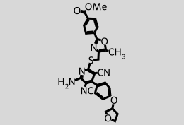 [C-]#[N+]c1c(N)nc(SCc2nc(-c3ccc(C(=O)OC)cc3)oc2C)c(C#N)c1-c1ccc(OC2CCOC2)cc1